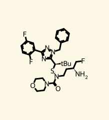 CC(C)(C)[C@@H](SN(CC[C@@H](N)CF)C(=O)N1CCOCC1)c1nc(-c2cc(F)ccc2F)nn1Cc1ccccc1